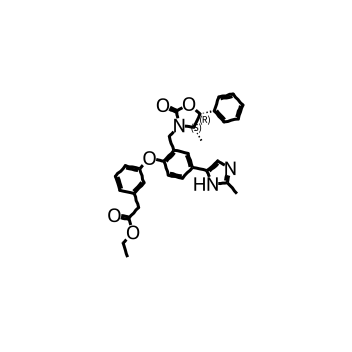 CCOC(=O)Cc1cccc(Oc2ccc(-c3cnc(C)[nH]3)cc2CN2C(=O)O[C@H](c3ccccc3)[C@@H]2C)c1